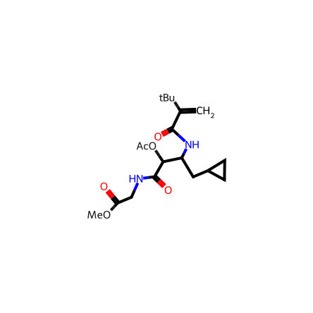 C=C(C(=O)NC(CC1CC1)C(OC(C)=O)C(=O)NCC(=O)OC)C(C)(C)C